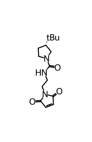 CC(C)(C)[C@H]1CCN(C(=O)NCCN2C(=O)C=CC2=O)C1